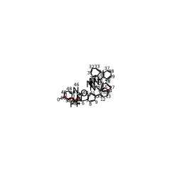 CCCCCN(Cc1ccc(-c2ccccc2-c2nnnn2C(c2ccccc2)(c2ccccc2)c2ccccc2)cc1)C(=O)N(C)c1ccccc1C(F)(F)F